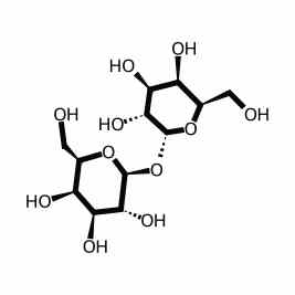 OC[C@H]1O[C@@H](O[C@H]2O[C@H](CO)[C@H](O)[C@H](O)[C@H]2O)[C@H](O)[C@@H](O)[C@H]1O